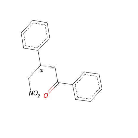 O=C(C[C@H](C[N+](=O)[O-])c1ccccc1)c1ccccc1